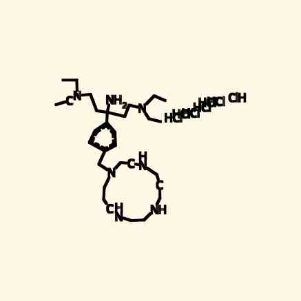 CCN(CC)CCC(N)(CCN(CC)CC)c1ccc(CN2CCCNCCNCCCNCC2)cc1.Cl.Cl.Cl.Cl.Cl.Cl.Cl